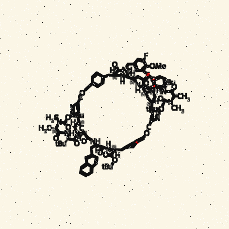 COc1c(F)cc(CNC(=O)[C@@H]2Cc3ccc(cc3)OCc3cn(nn3)[C@H]3C[C@@H](C(=O)N[C@@H](Cc4ccc5ccccc5c4)C(=O)N[C@H](C(=O)OC(C)(C)C)Cc4ccc(cc4)OCc4cn(nn4)[C@H]4C[C@@H](C(=O)N[C@@H](Cc5ccc6ccccc6c5)C(=O)N2)N(C(=O)[C@@H](NC(=O)[C@H](C)N(C)C(=O)OC(C)(C)C)C(C)(C)C)C4)N(C(=O)[C@@H](NC(=O)[C@H](C)N(C)C(=O)OC(C)(C)C)C(C)(C)C)C3)cc1F